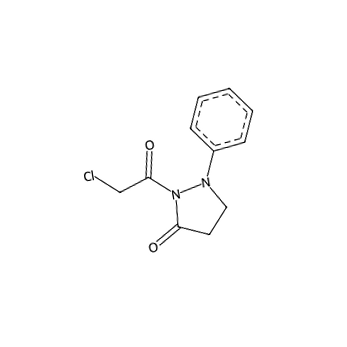 O=C(CCl)N1C(=O)CCN1c1ccccc1